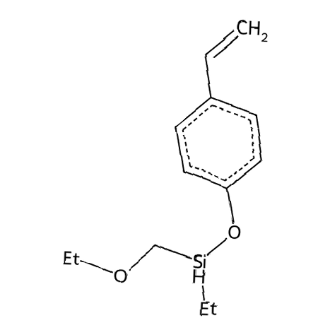 C=Cc1ccc(O[SiH](CC)COCC)cc1